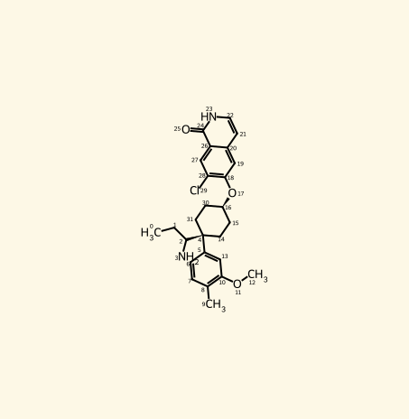 CCC(N)[C@]1(c2ccc(C)c(OC)c2)CC[C@H](Oc2cc3cc[nH]c(=O)c3cc2Cl)CC1